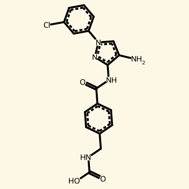 Nc1cn(-c2cccc(Cl)c2)nc1NC(=O)c1ccc(CNC(=O)O)cc1